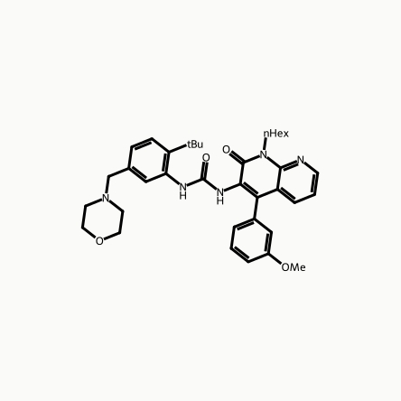 CCCCCCn1c(=O)c(NC(=O)Nc2cc(CN3CCOCC3)ccc2C(C)(C)C)c(-c2cccc(OC)c2)c2cccnc21